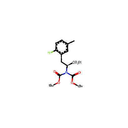 CCOC(=O)[C@H](Cc1cc(C)ccc1[18F])N(C(=O)OC(C)(C)C)C(=O)OC(C)(C)C